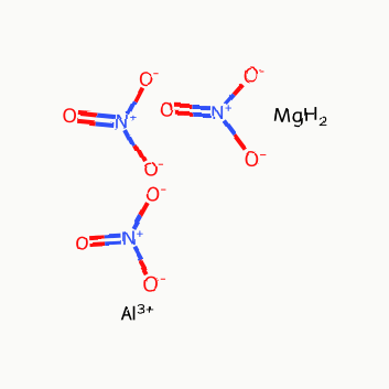 O=[N+]([O-])[O-].O=[N+]([O-])[O-].O=[N+]([O-])[O-].[Al+3].[MgH2]